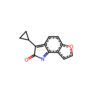 O=C1N=c2c(ccc3occc23)=C1C1CC1